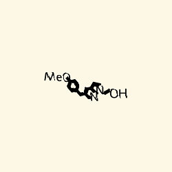 COc1ccc(Cc2cnc3c(ccn3CCO)c2)cc1